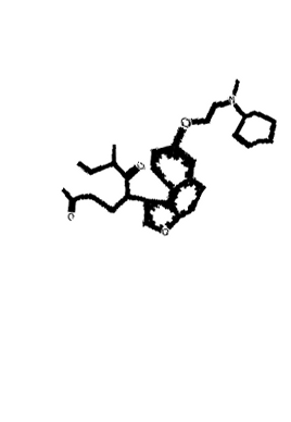 CCC(C)C(=O)C(CCC(C)=O)c1coc2ccc3cc(OCCN(C)C4CCCCC4)ccc3c12